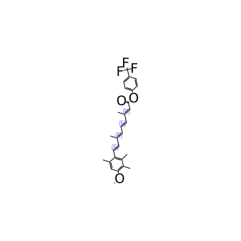 COc1cc(C)c(/C=C/C(C)=C/C=C/C(C)=C/C(=O)Oc2ccc(C(F)(F)F)cc2)c(C)c1C